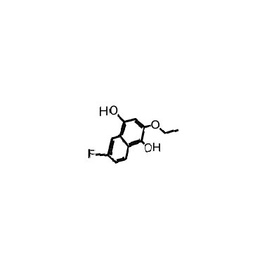 CCOc1cc(O)c2cc(F)ccc2c1O